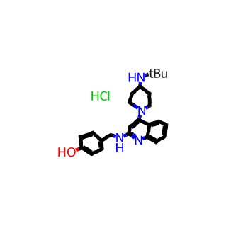 CC(C)(C)NC1CCN(c2cc(NCc3ccc(O)cc3)nc3ccccc23)CC1.Cl